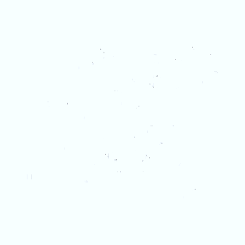 CCCCc1c(CCCC)c(-c2cc3c(cc2C(=O)N2Cc4ccccc4C[C@H]2COC)CN(C(=O)Cc2ccccc2)CC3)n(C)c1C.NC=O